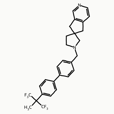 CC(c1ccc(-c2ccc(CN3CCC4(Cc5ccncc5C4)C3)cc2)cc1)(C(F)(F)F)C(F)(F)F